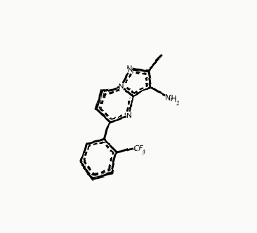 Cc1nn2ccc(-c3ccccc3C(F)(F)F)nc2c1N